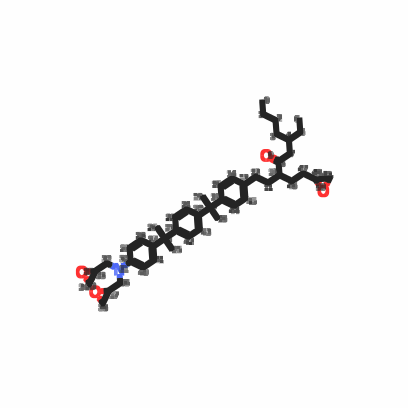 CCCCC(CC)CC(=O)C(CCc1ccc(C(C)(C)c2ccc(C(C)(C)c3ccc(N(CC4CO4)CC4CO4)cc3)cc2)cc1)CCC1CO1